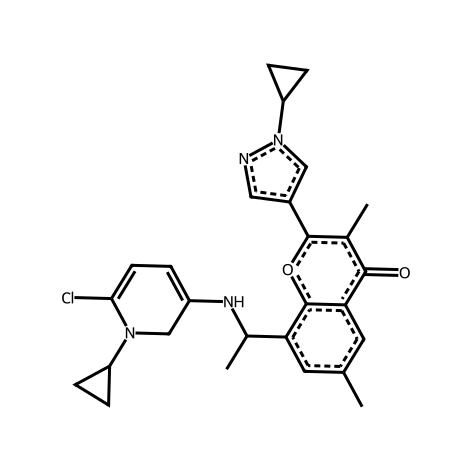 Cc1cc(C(C)NC2=CC=C(Cl)N(C3CC3)C2)c2oc(-c3cnn(C4CC4)c3)c(C)c(=O)c2c1